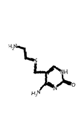 NCCSCc1c[nH]c(=O)nc1N